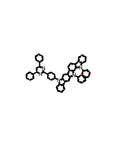 c1ccc(-c2cc(-c3ccccc3)nc(-c3ccc(-n4c5ccccc5c5cc6c(cc54)c4ccc5c7ccccc7n(-c7ccccc7)c5c4n6-c4ccccc4)cc3)n2)cc1